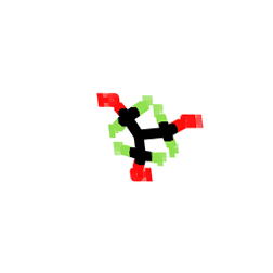 OC(F)(F)C(C(O)(F)F)C(O)(F)F